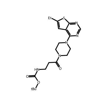 CCc1cc2c(N3CCN(C(=O)CCNC(=O)OC(C)(C)C)CC3)ncnc2s1